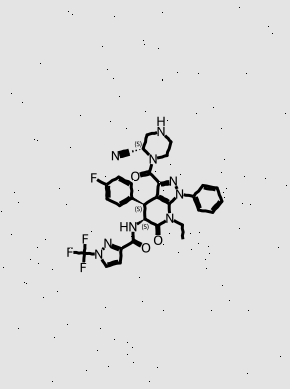 CCN1C(=O)[C@@H](NC(=O)c2ccn(C(F)(F)F)n2)[C@@H](c2ccc(F)cc2)c2c(C(=O)N3CCNC[C@H]3C#N)nn(-c3ccccc3)c21